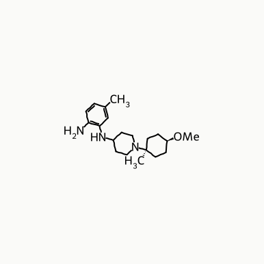 CO[C@H]1CC[C@@](C)(N2CCC(Nc3cc(C)ccc3N)CC2)CC1